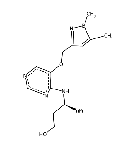 CCC[C@@H](CCO)Nc1ncncc1OCC1=NB(C)C(C)=C1